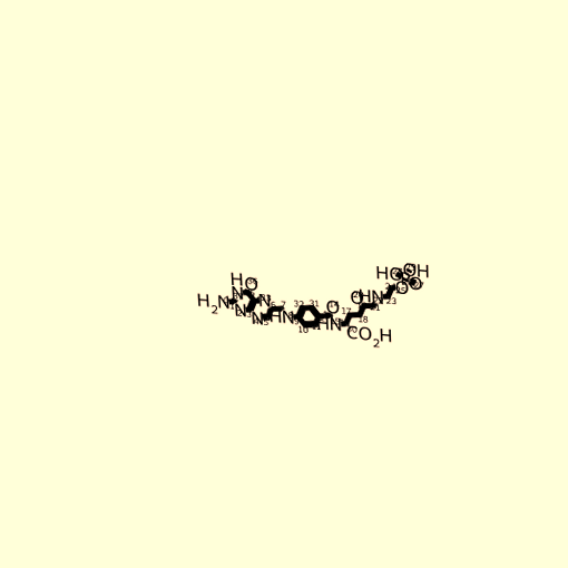 Nc1nc2ncc(CNc3ccc(C(=O)NC(CCC(=O)CNCCOP(=O)(O)O)C(=O)O)cc3)nc2c(=O)[nH]1